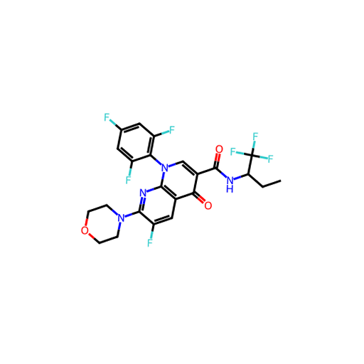 CCC(NC(=O)c1cn(-c2c(F)cc(F)cc2F)c2nc(N3CCOCC3)c(F)cc2c1=O)C(F)(F)F